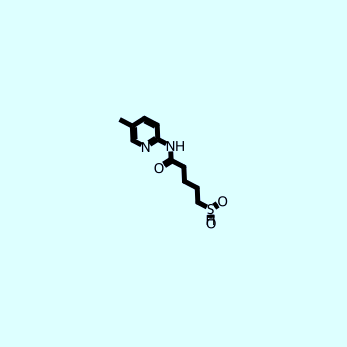 Cc1ccc(NC(=O)CCCC[SH](=O)=O)nc1